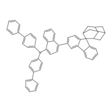 c1ccc(-c2ccc(N(c3ccc(-c4ccccc4)cc3)c3ccc(-c4ccc5c(c4)-c4ccccc4C54C5CC6CC(C5)CC4C6)c4ccccc34)cc2)cc1